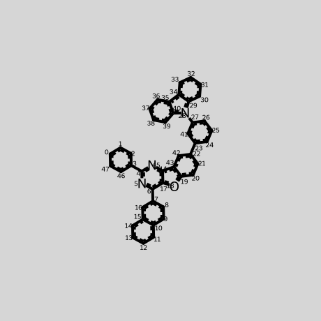 c1ccc(-c2nc(-c3ccc4ccccc4c3)c3oc4ccc(-c5cccc(-n6c7ccccc7c7ccccc76)c5)cc4c3n2)cc1